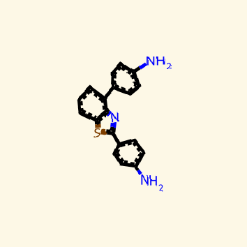 Nc1ccc(-c2nc3c(-c4ccc(N)cc4)cccc3s2)cc1